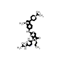 C=CCn1c(=O)c2cnc(Nc3ccc4c(C5CCN(C(C)C)CC5)cn(C)c4c3)nc2n1C(=N)/C=C\C(=O)NC(C)C